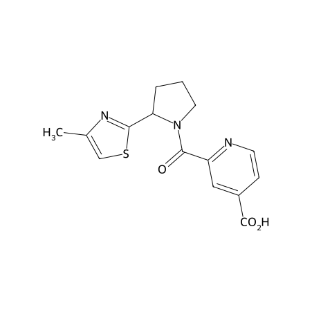 Cc1csc(C2CCCN2C(=O)c2cc(C(=O)O)ccn2)n1